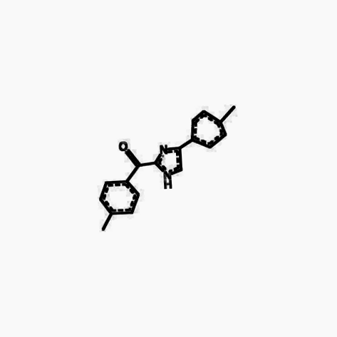 Cc1ccc(C(=O)c2nc(-c3ccc(C)cc3)c[nH]2)cc1